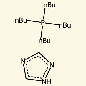 CCCC[P](CCCC)(CCCC)CCCC.c1nc[nH]n1